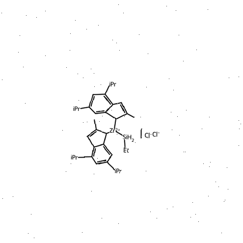 CC.CC[SiH2][Zr+2]([CH]1C(C)=Cc2c(C(C)C)cc(C(C)C)cc21)[CH]1C(C)=Cc2c(C(C)C)cc(C(C)C)cc21.[Cl-].[Cl-]